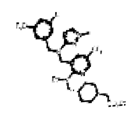 CCOC(=O)C[C@H]1CC[C@H](CN(CC)c2ncc(C(F)(F)F)cc2CN(Cc2cc(Cl)cc(C(F)(F)F)c2)c2ccn(C)n2)CC1